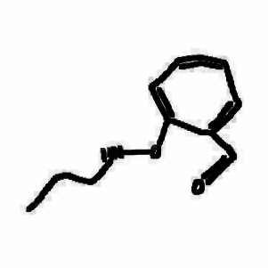 CCCNOc1ccccc1C=O